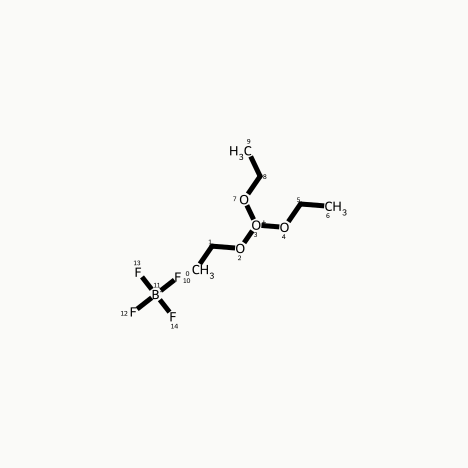 CCO[O+](OCC)OCC.F[B-](F)(F)F